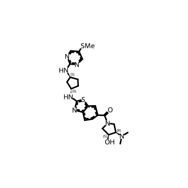 CSc1cnc(N[C@H]2CC[C@H](Nc3nc4ccc(C(=O)N5C[C@@H](N(C)C)[C@@H](O)C5)cc4s3)C2)nc1